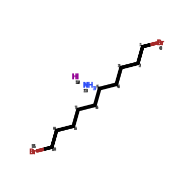 BrCCCCCCCCCCBr.I.N